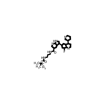 CC(C)(C)OC(=O)NCCCNC(=O)c1cnc2[nH]cc(-c3cc(F)c4nccc(-c5cccnc5)c4c3)c2c1